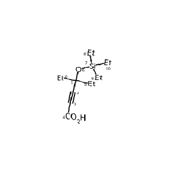 CCC(C#CC(=O)O)(CC)O[Si](CC)(CC)CC